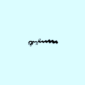 CCCCCCCCCCCC(=O)NCCCC1CCCOC(=O)C1(C)C